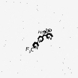 CS(=O)(=O)c1ccncc1C(O)C1CCN(c2ccc(C(F)(F)F)nc2)CC1